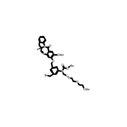 COCCOCCOCCN(C(=O)OC(C)(C)C)c1cc(CBr)cc(COc2cc3c(cc2OC)C(=O)N2c4ccccc4C[C@H]2C=N3)c1